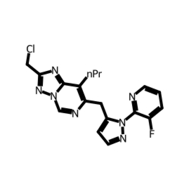 CCCc1c(Cc2ccnn2-c2ncccc2F)ncn2nc(CCl)nc12